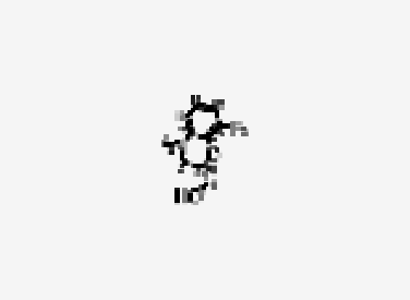 CN1C[C@@H](CO)Oc2c(F)cccc21